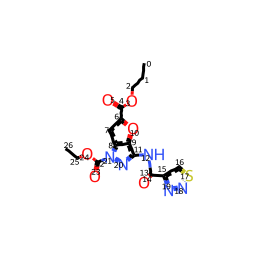 CCCOC(=O)c1cc2c(o1)c(NC(=O)c1csnn1)nn2C(=O)OCC